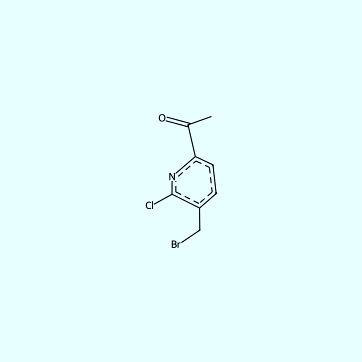 CC(=O)c1ccc(CBr)c(Cl)n1